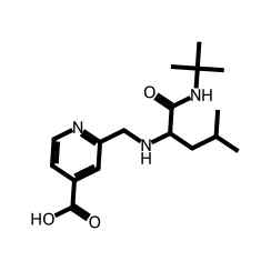 CC(C)CC(NCc1cc(C(=O)O)ccn1)C(=O)NC(C)(C)C